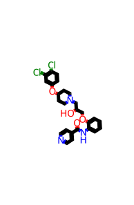 O=C(Nc1ccccc1OCC(O)CN1CCC(Oc2ccc(Cl)c(Cl)c2)CC1)c1ccncc1